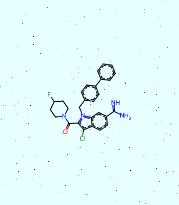 N=C(N)c1ccc2c(Cl)c(C(=O)N3CCC(F)CC3)n(Cc3ccc(-c4ccccc4)cc3)c2c1